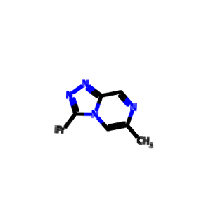 Cc1cn2c(C(C)C)nnc2cn1